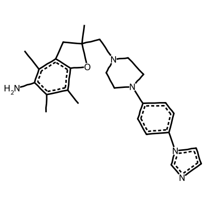 Cc1c(C)c2c(c(C)c1N)CC(C)(CN1CCN(c3ccc(-n4ccnc4)cc3)CC1)O2